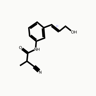 CC(C#N)C(=O)Nc1cccc(/C=C/CO)c1